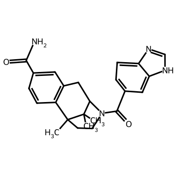 CC12CCN(C(=O)c3ccc4nc[nH]c4c3)C(Cc3cc(C(N)=O)ccc31)C2(C)C